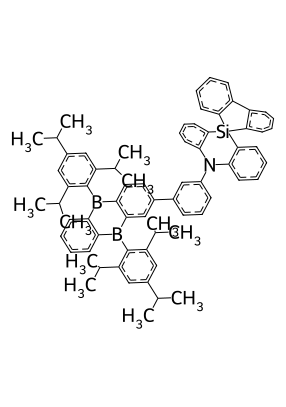 CC(C)c1cc(C(C)C)c(B2c3ccccc3B(c3c(C(C)C)cc(C(C)C)cc3C(C)C)c3cc(-c4cccc(N5c6ccccc6[Si]6(c7ccccc7-c7ccccc76)c6ccccc65)c4)ccc32)c(C(C)C)c1